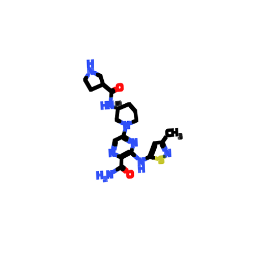 Cc1cc(Nc2nc(N3CCC[C@@H](NC(=O)C4CCNC4)C3)cnc2C(N)=O)sn1